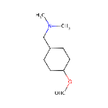 CN(C)CC1CCC(OC=O)CC1